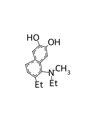 CCc1ccc2cc(O)c(O)cc2c1N(C)CC